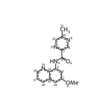 COc1cc(NC(=O)c2cnc(C)cn2)c2ncccc2c1